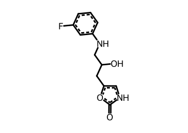 O=c1[nH]cc(CC(O)CNc2cccc(F)c2)o1